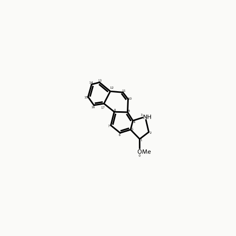 COC1CNc2c1ccc1c2ccc2ccccc21